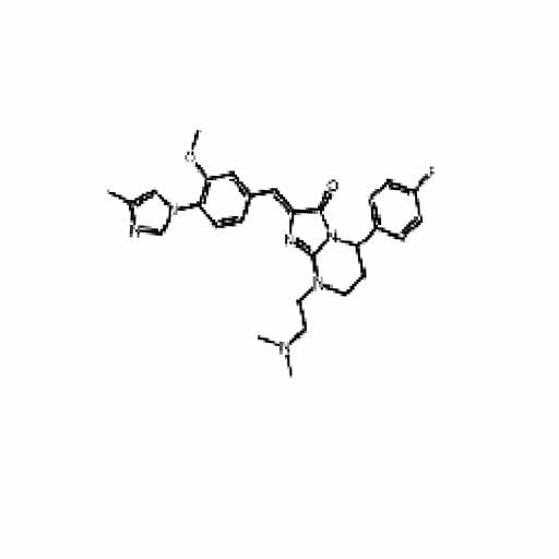 COc1cc(/C=C2\N=C3N(CCN(C)C)CCC(c4ccc(F)cc4)N3C2=O)ccc1-n1cnc(C)c1